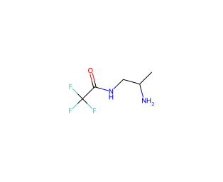 CC(N)CNC(=O)C(F)(F)F